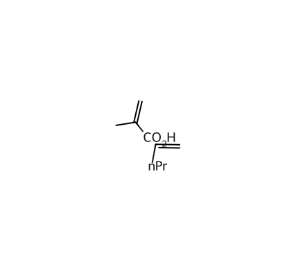 C=C(C)C(=O)O.C=CCCC